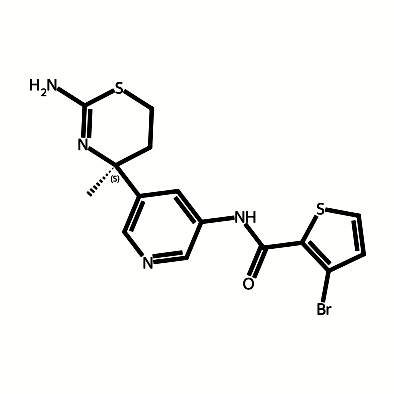 C[C@@]1(c2cncc(NC(=O)c3sccc3Br)c2)CCSC(N)=N1